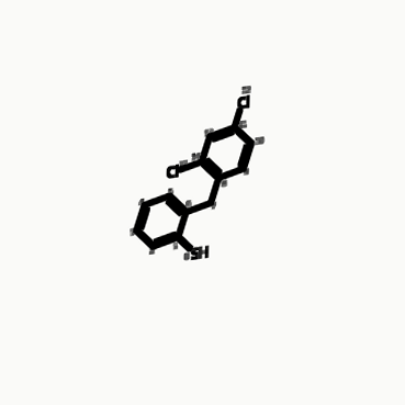 Sc1ccccc1Cc1ccc(Cl)cc1Cl